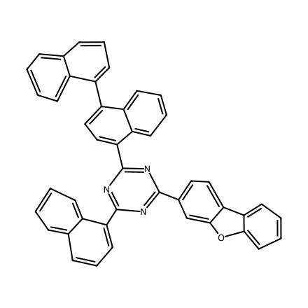 c1ccc2c(-c3nc(-c4ccc5c(c4)oc4ccccc45)nc(-c4ccc(-c5cccc6ccccc56)c5ccccc45)n3)cccc2c1